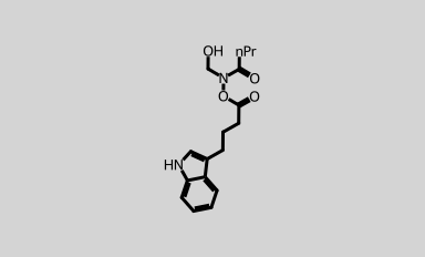 CCCC(=O)N(CO)OC(=O)CCCc1c[nH]c2ccccc12